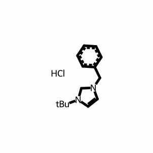 CC(C)(C)N1C=CN(Cc2ccccc2)C1.Cl